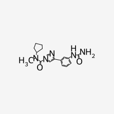 CN(C(=O)n1cnc(-c2cccc(NC(N)=O)c2)c1)C1CCCC1